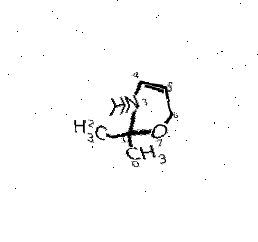 CC1(C)NC=CCO1